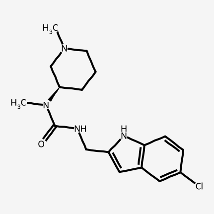 CN1CCC[C@@H](N(C)C(=O)NCc2cc3cc(Cl)ccc3[nH]2)C1